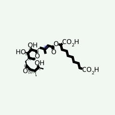 C/C(=C\C(=O)OC(CCCCCCCC(=O)O)C(=O)O)C[C@@H]1OC[C@H](C[C@@H]2O[C@H]2[C@@H](C)[C@H](C)O)[C@@H](O)[C@H]1O